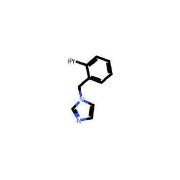 CC(C)c1ccccc1Cn1ccnc1